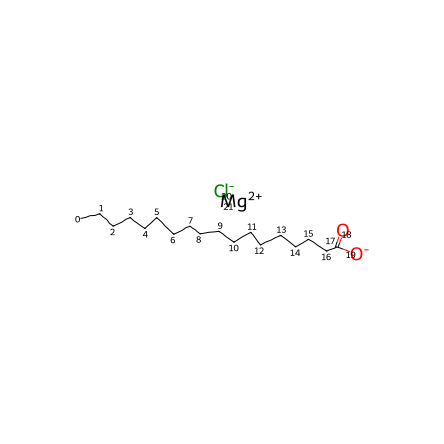 CCCCCCCCCCCCCCCCCC(=O)[O-].[Cl-].[Mg+2]